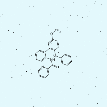 COc1ccc([Se]c2ccccc2)c(-c2ccccc2NC(=O)c2ccccn2)c1